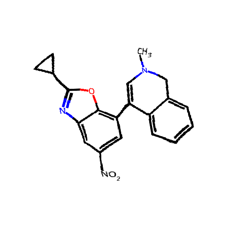 CN1C=C(c2cc([N+](=O)[O-])cc3nc(C4CC4)oc23)c2ccccc2C1